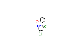 Oc1ccccc1-c1ncc(Cl)cc1Cl